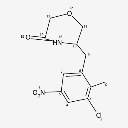 Cc1c(Cl)cc([N+](=O)[O-])cc1CC1COCC(=O)N1